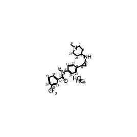 CN1CCC(NC2CC2c2ccc(N(C)C(=O)c3cccc(C(F)(F)F)c3)cc2)CC1.Cl.Cl